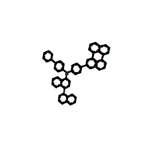 c1ccc(-c2ccc(N(c3ccc(-c4cccc(-c5cccc6cccc(-c7ccccc7)c56)c4)cc3)c3ccc(-c4cccc5ccccc45)c4ccccc34)cc2)cc1